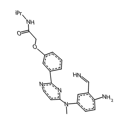 CC(C)NC(=O)COc1cccc(-c2nccc(N(C)c3ccc(N)c(C=N)c3)n2)c1